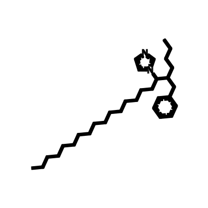 CCCCCCCCCCCCCCCCC(C(CCCC)Cc1ccccc1)n1ccnc1